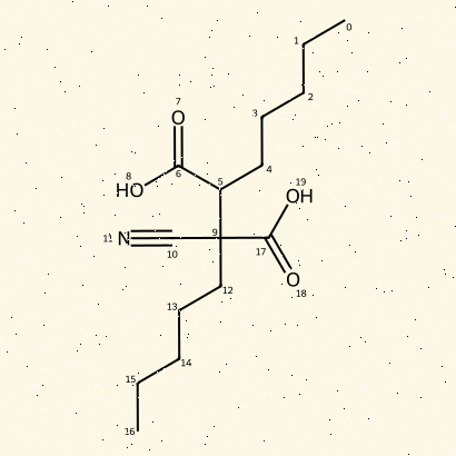 CCCCCC(C(=O)O)C(C#N)(CCCCC)C(=O)O